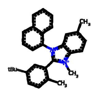 Cc1ccc2c(c1)n(-c1cccc3ccccc13)c(-c1cc(C(C)(C)C)ccc1C)[n+]2C